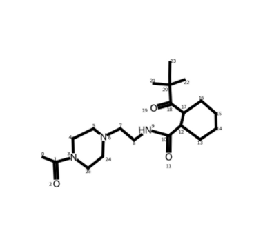 CC(=O)N1CCN(CCNC(=O)C2CCCCC2C(=O)C(C)(C)C)CC1